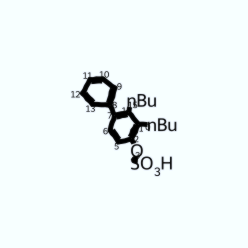 CCCCc1c(OS(=O)(=O)O)ccc(-c2ccccc2)c1CCCC